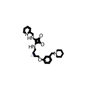 O=c1c(NC/C=C\COc2cccc(CN3CCCCC3)c2)c(NCc2ccccn2)c1=O